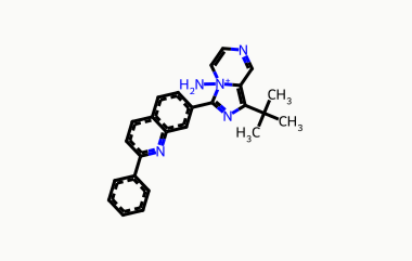 CC(C)(C)C1=C2C=NC=C[N+]2(N)C(c2ccc3ccc(-c4ccccc4)nc3c2)=N1